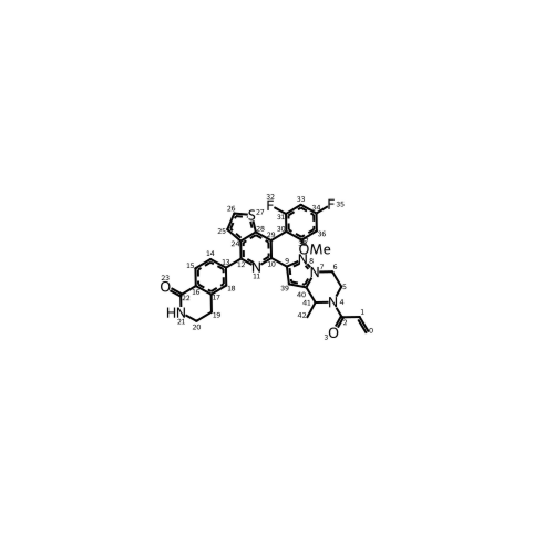 C=CC(=O)N1CCn2nc(-c3nc(-c4ccc5c(c4)CCNC5=O)c4ccsc4c3-c3c(F)cc(F)cc3OC)cc2C1C